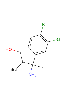 CCC(C)C(CO)C(C)(N)c1ccc(Br)c(Cl)c1